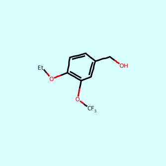 CCOc1ccc(CO)cc1OC(F)(F)F